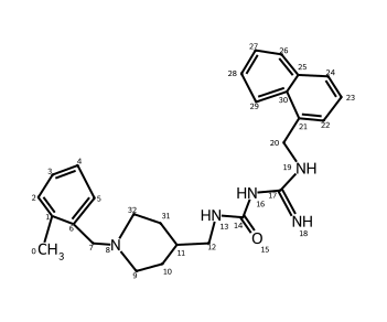 Cc1ccccc1CN1CCC(CNC(=O)NC(=N)NCc2cccc3ccccc23)CC1